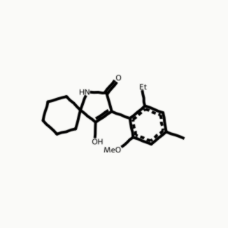 CCc1cc(C)cc(OC)c1C1=C(O)C2(CCCCC2)NC1=O